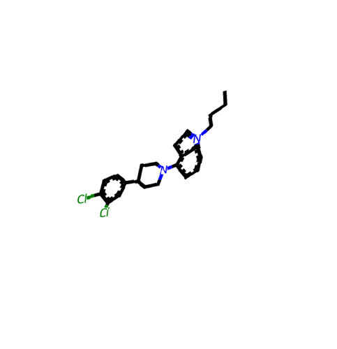 CCCCn1ccc2c(N3CCC(c4ccc(Cl)c(Cl)c4)CC3)cccc21